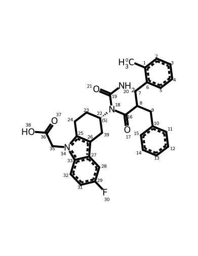 Cc1ccccc1CC(Cc1ccccc1)C(=O)N(C(N)=O)[C@H]1CCc2c(c3cc(F)ccc3n2CC(=O)O)C1